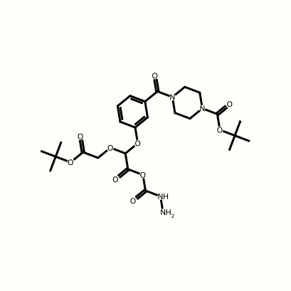 CC(C)(C)OC(=O)COC(Oc1cccc(C(=O)N2CCN(C(=O)OC(C)(C)C)CC2)c1)C(=O)OC(=O)NN